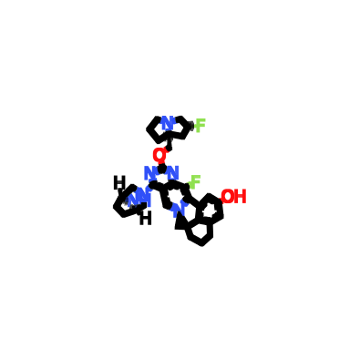 Oc1cc2c(c(-c3ncc4c(N5C[C@H]6CC[C@@H](C5)N6)nc(OC[C@@]56CCCN5C[C@H](F)C6)nc4c3F)c1)C1(CCC2)CC1